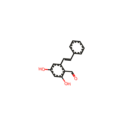 O=Cc1c(O)cc(O)cc1/C=C/c1ccccc1